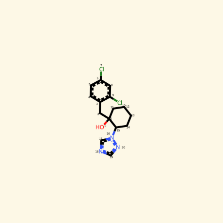 OC1(Cc2ccc(Cl)cc2Cl)CCCCC1n1cncn1